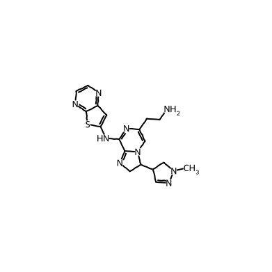 CN1CC(C2CN=C3C(Nc4cc5nccnc5s4)=NC(CCN)=CN32)C=N1